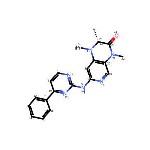 CC(C)N1c2cc(Nc3nccc(-c4ccccc4)n3)ncc2N(C)C(=O)[C@H]1C